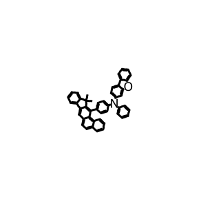 CC1(C)c2ccccc2-c2cc3ccc4ccccc4c3c(-c3ccc(N(c4ccccc4)c4ccc5c(c4)oc4ccccc45)cc3)c21